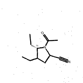 CCC1CC(C#N)N(C(C)=O)[C@H]1CC